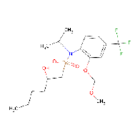 CCCCC(O)CS(=O)(=O)N(c1ccc(C(F)(F)F)cc1OCOC)C(C)C